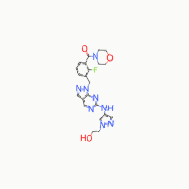 O=C(c1cccc(Cn2ncc3cnc(Nc4cnn(CCO)c4)nc32)c1F)N1CCOCC1